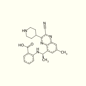 Cc1cc([C@@H](C)Nc2ccccc2C(=O)O)c2nc(C3CCNCC3)c(C#N)nc2c1